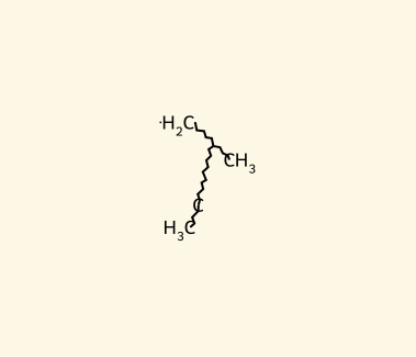 [CH2]CCCCCC(CCCC)CCCCCCCCCCCCCCC